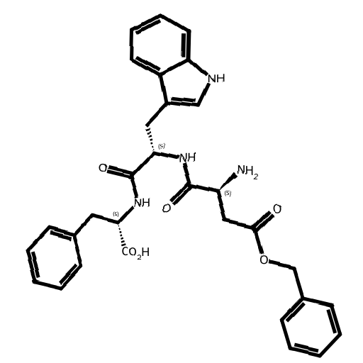 N[C@@H](CC(=O)OCc1ccccc1)C(=O)N[C@@H](Cc1c[nH]c2ccccc12)C(=O)N[C@@H](Cc1ccccc1)C(=O)O